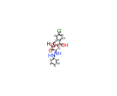 C=C(CC(NNc1ccccc1)C(=O)O)C(O)c1ccc(Cl)cc1